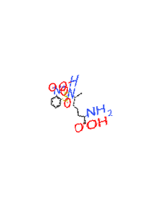 CC(CCC[C@@H](N)C(=O)O)NS(=O)(=O)c1ccccc1[N+](=O)[O-]